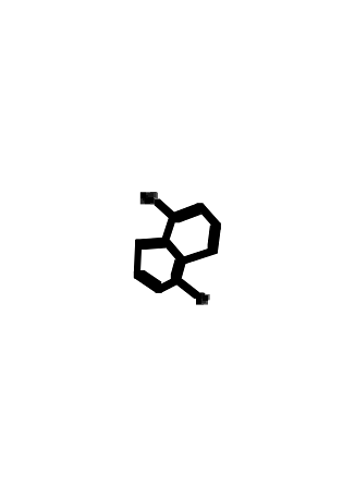 N#Cc1cccc2c(Br)cccc12